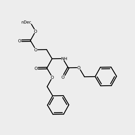 CCCCCCCCCCOC(=O)OCC(NC(=O)OCc1ccccc1)C(=O)OCc1ccccc1